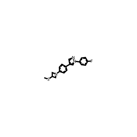 CSC1CN(c2ccc(-c3cnn(-c4ccc(F)cc4)c3)cc2)C1